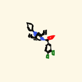 O=C(c1ccc(Cl)c(Cl)c1)N1C[C@H]2C[C@@H]1CN2c1ccccc1